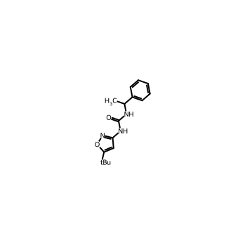 CC(NC(=O)Nc1cc(C(C)(C)C)on1)c1ccccc1